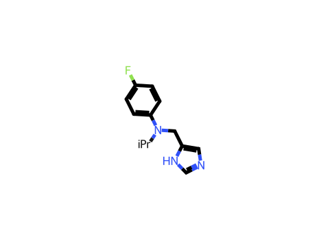 CC(C)N(Cc1cnc[nH]1)c1ccc(F)cc1